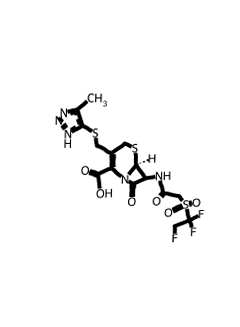 Cc1nn[nH]c1SCC1=C(C(=O)O)N2C(=O)C(NC(=O)CS(=O)(=O)C(F)(F)CF)[C@@H]2SC1